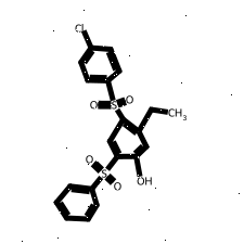 CCc1cc(O)c(S(=O)(=O)c2ccccc2)cc1S(=O)(=O)c1ccc(Cl)cc1